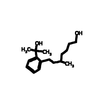 CC(CCCCO)CCc1ccccc1C(C)(C)O